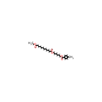 CCOC(=O)CCCCCCCCCCC(=O)OCCCCCCOC(=O)c1ccc(C)cc1